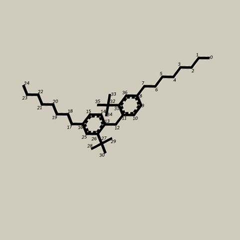 CCCCCCCCc1ccc(Cc2ccc(CCCCCCCC)cc2C(C)(C)C)c(C(C)(C)C)c1